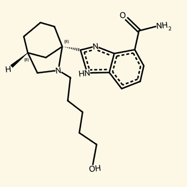 NC(=O)c1cccc2[nH]c([C@]34CCC[C@@H](CN3CCCCCO)C4)nc12